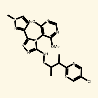 COc1ncnc(OC)c1-n1c(NSC(C)C(C)c2ncc(Cl)cn2)nnc1-c1ccn(C)n1